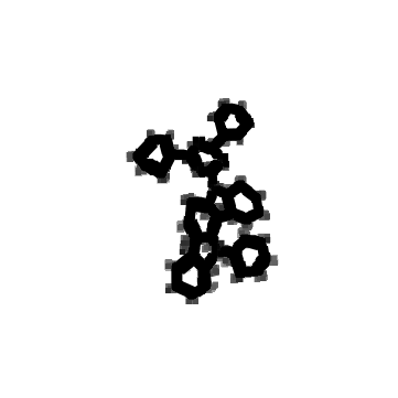 c1ccc(-c2nc(-c3ccccc3)nc(-n3c4c(c5c3ccc3c6ccccc6n(-c6ccccc6)c35)CCCC4)n2)cc1